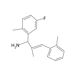 C/C(=C\c1ccccc1C)C(N)c1cc(F)ccc1C